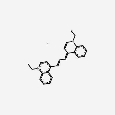 CCN1C=C/C(=C\C=C\c2cc[n+](CC)c3ccccc23)c2ccccc21.[I-]